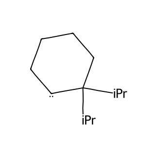 CC(C)C1(C(C)C)[C]CCCC1